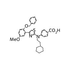 COc1ccc(OCc2ccccc2)c(-c2csc(N(CCC3CCCCC3)c3ccc(C(=O)O)cc3)n2)c1